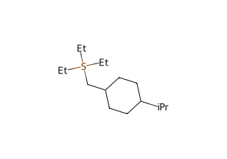 CCS(CC)(CC)CC1CCC(C(C)C)CC1